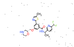 Cc1cnc(-c2cc(OC[C@H]3CNCCO3)cc(C(=O)NC(C)c3ccc(C(F)F)nc3)c2)s1